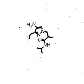 CCc1nn(CC(C)C(=O)NC(C)C)cc1N